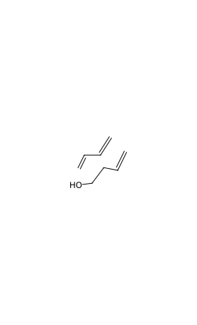 C=CC=C.C=CCCO